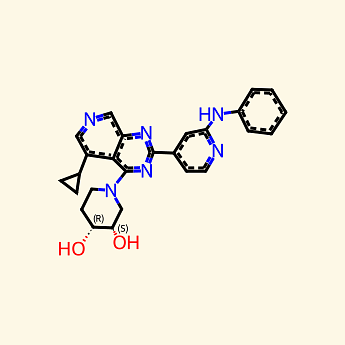 O[C@@H]1CCN(c2nc(-c3ccnc(Nc4ccccc4)c3)nc3cncc(C4CC4)c23)C[C@@H]1O